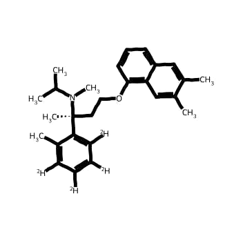 [2H]c1c([2H])c([2H])c([C@](C)(CCOc2cccc3cc(C)c(C)cc23)N(C)C(C)C)c(C)c1[2H]